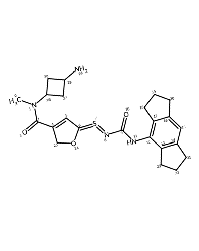 CN(C(=O)C1=CC(=S=NC(=O)Nc2c3c(cc4c2CCC4)CCC3)OC1)C1CC(N)C1